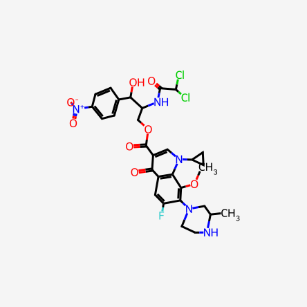 COc1c(N2CCNC(C)C2)c(F)cc2c(=O)c(C(=O)OCC(NC(=O)C(Cl)Cl)C(O)c3ccc([N+](=O)[O-])cc3)cn(C3CC3)c12